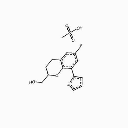 CS(=O)(=O)O.OCC1CCc2cc(F)cc(-c3cccs3)c2O1